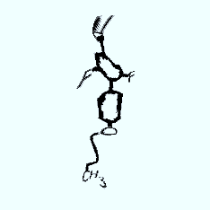 CCCCOc1ccc(-c2c(F)cc(C#N)cc2F)cc1